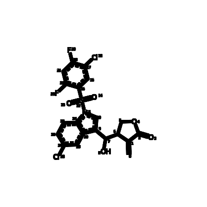 C=C1C(=O)OCC1C(O)c1cn(S(=O)(=O)c2cc(Cl)c(F)cc2F)c2ccc(Cl)cc12